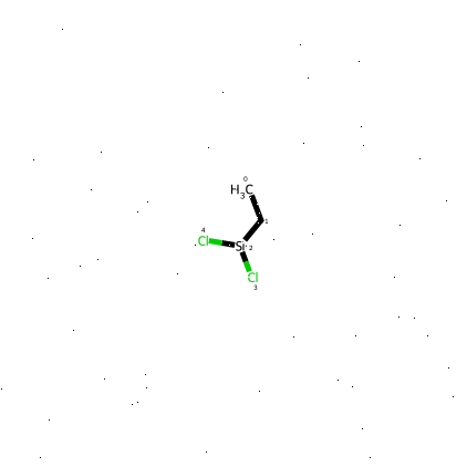 CC[Si](Cl)Cl